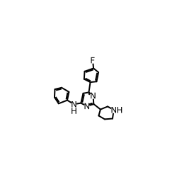 Fc1ccc(-c2cc(Nc3ccccc3)nc(C3CCCNC3)n2)cc1